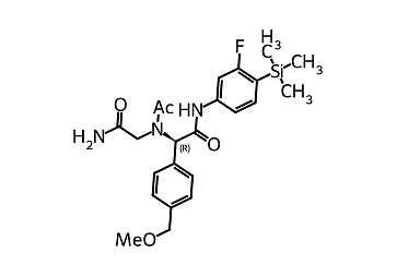 COCc1ccc([C@H](C(=O)Nc2ccc([Si](C)(C)C)c(F)c2)N(CC(N)=O)C(C)=O)cc1